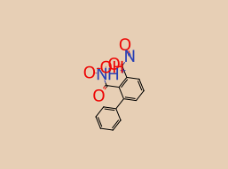 O=NC(=O)c1cccc(-c2ccccc2)c1C(=O)[NH+]([O-])O